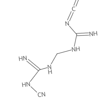 N#CNC(=N)NCNC(=N)N=C=N